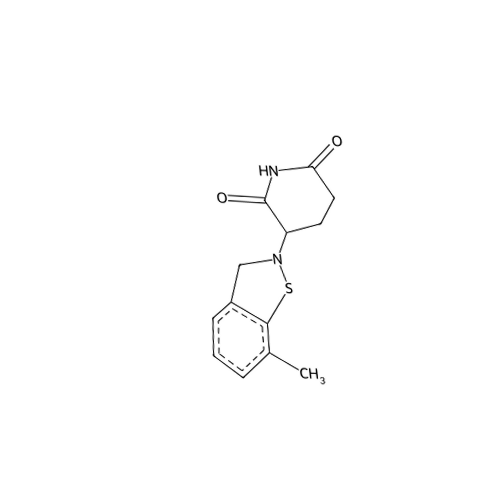 Cc1cccc2c1SN(C1CCC(=O)NC1=O)C2